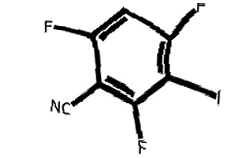 N#Cc1c(F)cc(F)c(I)c1F